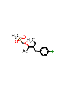 C=C/C(Cc1ccc(F)cc1)=C(\OCS(C)(=O)=O)C(C)=O